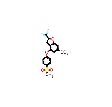 CS(=O)(=O)c1ccc(Oc2cc(C(=O)O)cc3c2CC(C(F)F)O3)cc1